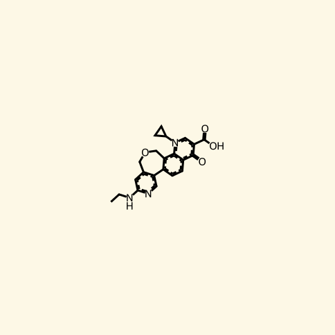 CCNc1cc2c(cn1)-c1ccc3c(=O)c(C(=O)O)cn(C4CC4)c3c1COC2